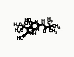 C#Cc1[nH]c2nc(NC(=O)C(C)(C)C)nc(O)c2c1[Si](C)(C)C